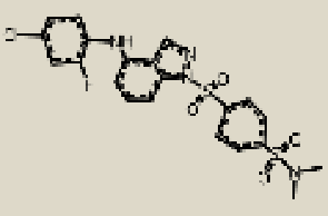 CN(C)S(=O)(=O)c1ccc(S(=O)(=O)n2ncc3c(Nc4ccc(Cl)cc4F)cccc32)cc1